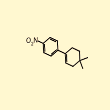 CC1(C)CC=C(c2ccc([N+](=O)[O-])cc2)CC1